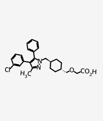 Cc1nn(C[C@H]2CC[C@H](COCC(=O)O)CC2)c(-c2ccccc2)c1-c1cccc(Cl)c1